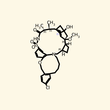 CO[C@@]1(CC2(O)CCC2)/C=C/C[C@H](C)[C@@H](C)C(=O)NS(=O)(=O)c2ccc3c(c2)N(CCCCc2cc(Cl)ccc2CO3)C[C@@H]2CC[C@H]21